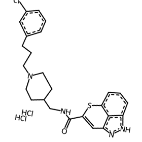 Cl.Cl.O=C(NCC1CCN(CCCc2cccc(Cl)c2)CC1)C1=Cc2n[nH]c3cccc(c23)S1